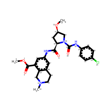 COC(=O)c1cc(NC(=O)[C@H]2C[C@@H](OC)CN2C(=O)Nc2ccc(Cl)cc2)cc2c1CN(C)CC2